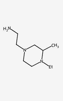 CCN1CCN(CCN)CC1C